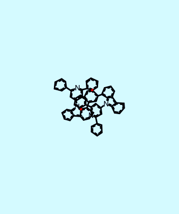 c1ccc(-c2cc(-n3c4ccccc4c4cccc(-c5cccc(-c6cccc7c8ccccc8n(-c8cc(-c9ccccc9)nc(-c9ccccc9)c8)c67)c5)c43)cc(-c3ccccc3)n2)cc1